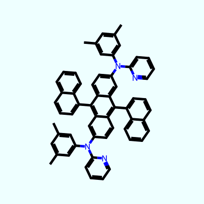 Cc1cc(C)cc(N(c2ccc3c(-c4cccc5ccccc45)c4cc(N(c5cc(C)cc(C)c5)c5ccccn5)ccc4c(-c4cccc5ccccc45)c3c2)c2ccccn2)c1